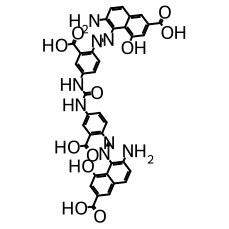 Nc1ccc2cc(C(=O)O)cc(O)c2c1N=Nc1ccc(NC(=O)Nc2ccc(N=Nc3c(N)ccc4cc(C(=O)O)cc(O)c34)c(C(=O)O)c2)cc1C(=O)O